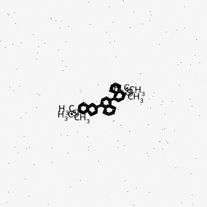 C[Si](C)(C)c1ccc2cc(-c3ccc(-c4ccc([Si](C)(C)C)c5ccccc45)c4ccccc34)ccc2c1